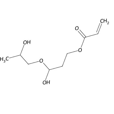 C=CC(=O)OCCC(O)OCC(C)O